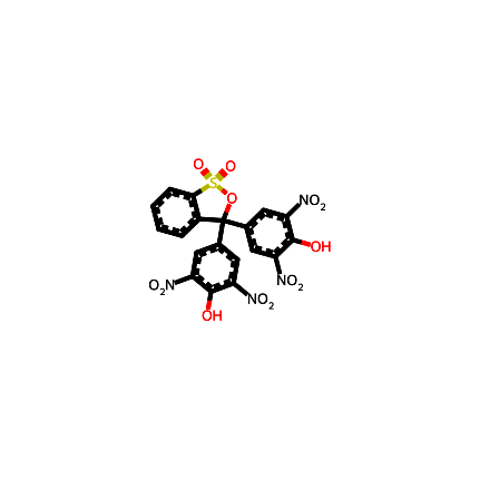 O=[N+]([O-])c1cc(C2(c3cc([N+](=O)[O-])c(O)c([N+](=O)[O-])c3)OS(=O)(=O)c3ccccc32)cc([N+](=O)[O-])c1O